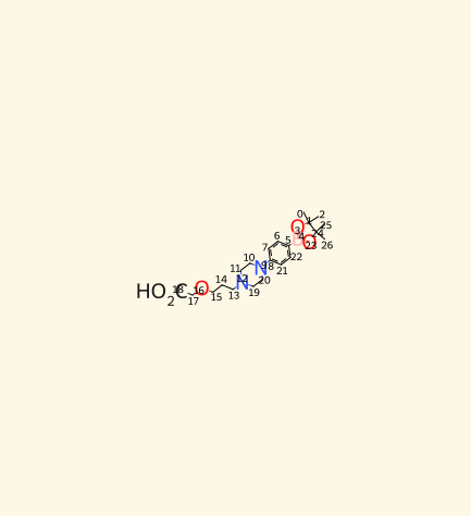 CC1(C)OB(c2ccc(N3CCN(CCCOCC(=O)O)CC3)cc2)OC1(C)C